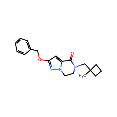 CC1(CN2CCn3nc(OCc4ccccc4)cc3C2=O)CCC1